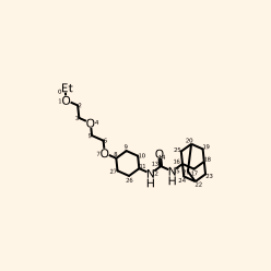 CCOCCOCCOC1CCC(NC(=O)NC23CC4CC(CC(C4)C2)C3)CC1